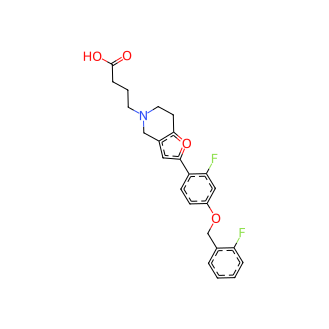 O=C(O)CCCN1CCc2oc(-c3ccc(OCc4ccccc4F)cc3F)cc2C1